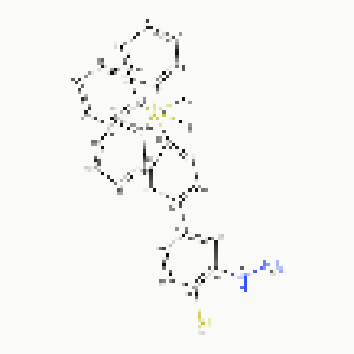 CS(C)(c1ccccc1)(c1ccccc1)(c1ccccc1)c1ccc(-c2ccc(S)c(NN)c2)cc1